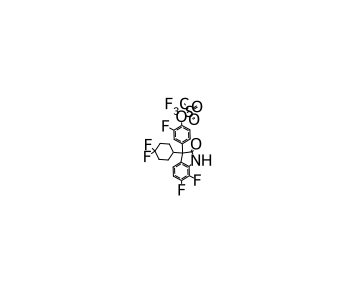 O=C1Nc2c(ccc(F)c2F)C1(c1ccc(OS(=O)(=O)C(F)(F)F)c(F)c1)C1CCC(F)(F)CC1